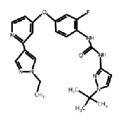 CCn1cc(-c2cc(Oc3ccc(NC(=O)Nc4ccn(C(C)(C)C)n4)c(F)c3)ccn2)cn1